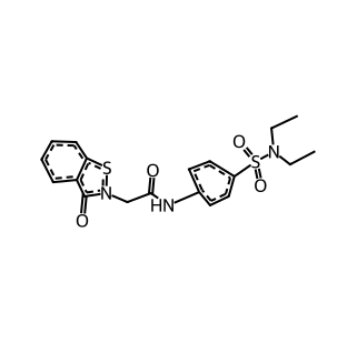 CCN(CC)S(=O)(=O)c1ccc(NC(=O)Cn2sc3ccccc3c2=O)cc1